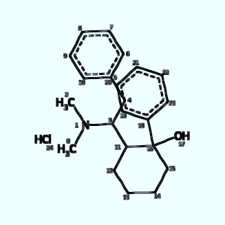 CN(C)C(Cc1ccccc1)C1CCCCC1(O)c1ccccc1.Cl